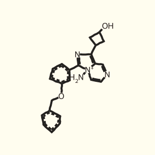 N[N+]12C=CN=CC1=C(C1CC(O)C1)N=C2c1cccc(OCc2ccccc2)c1